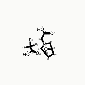 O=C(O)C(F)(F)F.O=C(O)CN1CC2CCC(C1)O2